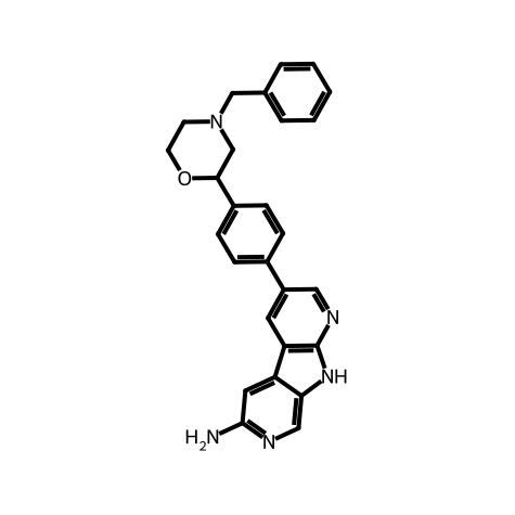 Nc1cc2c(cn1)[nH]c1ncc(-c3ccc(C4CN(Cc5ccccc5)CCO4)cc3)cc12